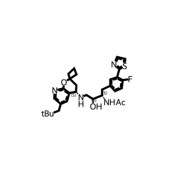 CC(=O)N[C@@H](Cc1ccc(F)c(-c2nccs2)c1)[C@@H](O)CN[C@H]1CC2(CCC2)Oc2ncc(CC(C)(C)C)cc21